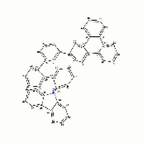 c1cc(-c2ccc3c4ccccc4c4ccccc4c3c2)cc(-c2ccccc2-c2ccccc2-n2c3ccccc3c3ccccc32)c1